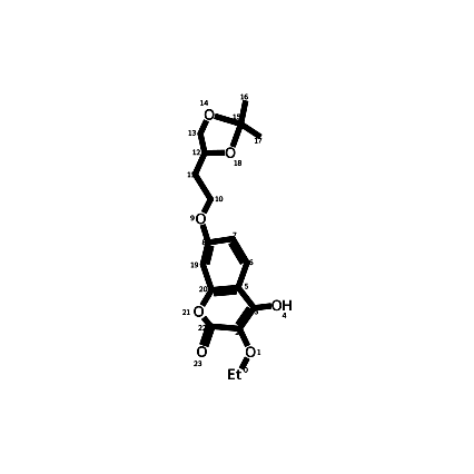 CCOc1c(O)c2ccc(OCCC3COC(C)(C)O3)cc2oc1=O